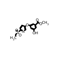 CCS(=O)(=O)c1ccc(Oc2cc(O)cc(C(=O)OC)c2)cn1